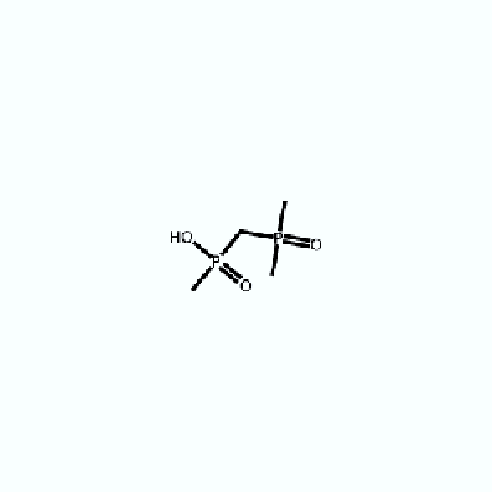 CP(C)(=O)CP(C)(=O)O